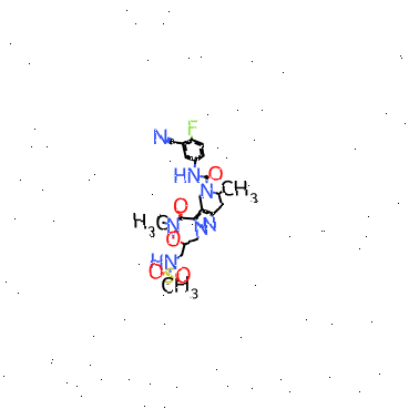 CC1Cc2nn3c(c2CN1C(=O)Nc1ccc(F)c(C#N)c1)C(=O)N(C)OC(CNS(C)(=O)=O)C3